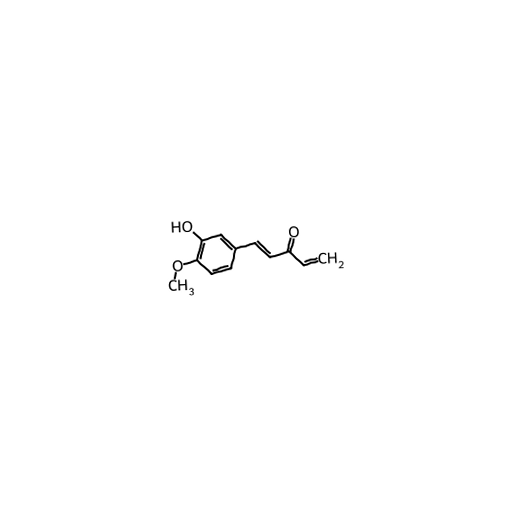 C=CC(=O)/C=C/c1ccc(OC)c(O)c1